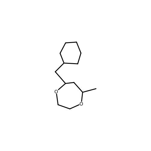 CC1CC(CC2CCCCC2)OCCO1